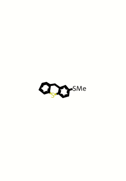 CSc1ccc2c(c1)Cc1ccccc1S2